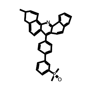 CC1C=Cc2c(ccc3c(-c4ccc(-c5cccc(P(C)(C)=O)c5)cc4)c4ccc5ccccc5c4nc23)C1